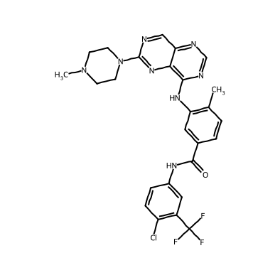 Cc1ccc(C(=O)Nc2ccc(Cl)c(C(F)(F)F)c2)cc1Nc1ncnc2cnc(N3CCN(C)CC3)nc12